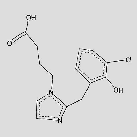 O=C(O)CCCn1ccnc1Cc1cccc(Cl)c1O